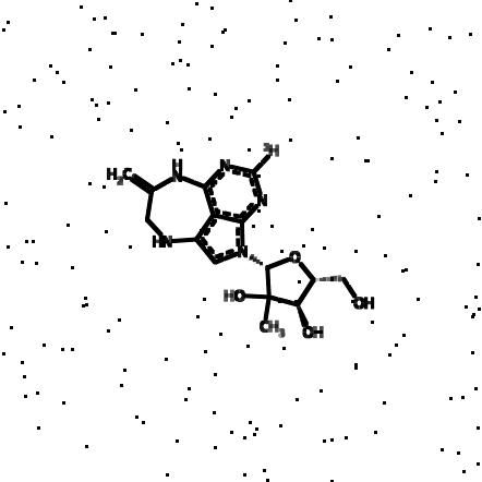 [3H]c1nc2c3c(cn([C@@H]4O[C@H](CO)[C@@H](O)C4(C)O)c3n1)NCC(=C)N2